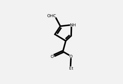 CCOC(=O)c1c[nH]c(C=O)c1